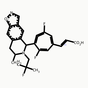 CC1Cc2cc3oncc3cc2C(C2=C=C(F)C=C(/C=C/C(=O)O)C=C2F)N1CC(C)(C)F